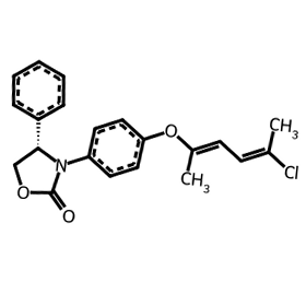 C/C(Cl)=C\C=C(/C)Oc1ccc(N2C(=O)OC[C@@H]2c2ccccc2)cc1